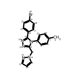 Cc1ccc(-n2c(Cn3cccn3)nnc2-c2ccc(Br)cc2)cc1